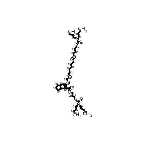 CCCCN(CCCC)C(=S)SCCCCOOCCCCCCOCOC1C2CC(C3CCCC32)C1C(=O)OCCCSC(=S)N(CCCC)CCCC